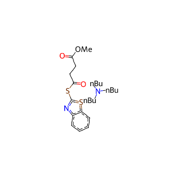 CCCCN(CCCC)CCCC.COC(=O)CCC(=O)Sc1nc2ccccc2s1